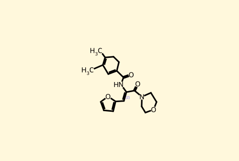 CC1=C(C)CCC(C(=O)N/C(=C\c2ccco2)C(=O)N2CCOCC2)=C1